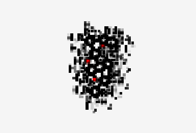 Bc1c(B)c(B)c(-c2c(B)c(B)c(B)c(-c3c4c(B)c(B)c(B)c(B)c4c(-c4c(B)c(B)c(-c5c(B)c(B)c(B)c6oc7c(B)c8c(B)c(B)c(B)c(B)c8c(B)c7c56)c(B)c4B)c4c(B)c(B)c(B)c(B)c34)c2B)c(B)c1B